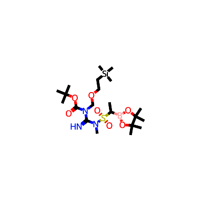 CC(B1OC(C)(C)C(C)(C)O1)S(=O)(=O)N(C)C(=N)N(COCC[Si](C)(C)C)C(=O)OC(C)(C)C